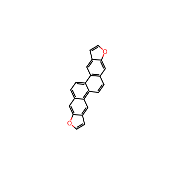 c1cc2cc3c(ccc4c5cc6ccoc6cc5ccc34)cc2o1